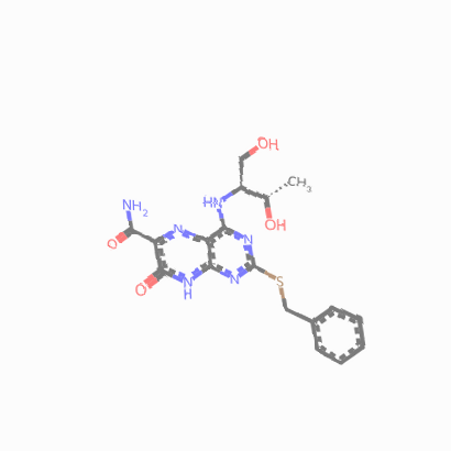 C[C@H](O)[C@H](CO)Nc1nc(SCc2ccccc2)nc2[nH]c(=O)c(C(N)=O)nc12